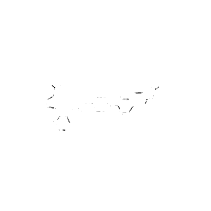 CC(=O)c1ccc(-c2ncccc2CNCC2CCN(c3nccc(C=C4SC(=O)NC4=O)n3)CC2)s1